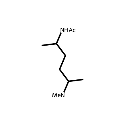 CNC(C)CCC(C)NC(C)=O